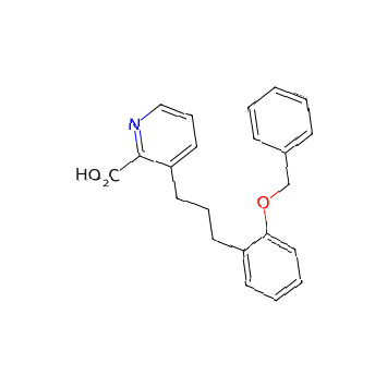 O=C(O)c1ncccc1CCCc1ccccc1OCc1ccccc1